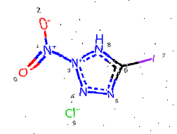 O=[N+]([O-])[n+]1nnc(I)[nH]1.[Cl-]